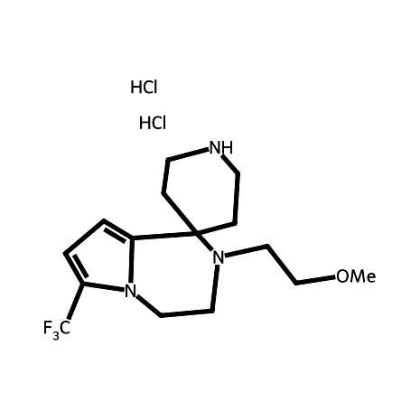 COCCN1CCn2c(C(F)(F)F)ccc2C12CCNCC2.Cl.Cl